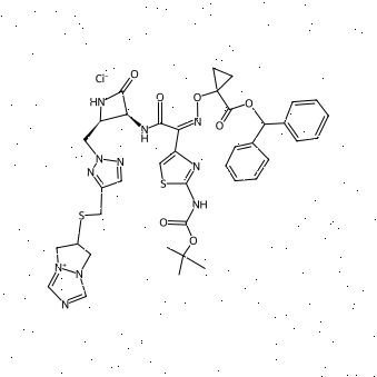 CC(C)(C)OC(=O)Nc1nc(/C(=N/OC2(C(=O)OC(c3ccccc3)c3ccccc3)CC2)C(=O)N[C@@H]2C(=O)N[C@@H]2Cn2ncc(CSC3Cn4cnc[n+]4C3)n2)cs1.[Cl-]